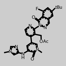 CC(=O)OCc1c(-c2cc(Nc3cn(C)cn3)c(=O)n(C)c2)ccnc1-n1ncc2cc(C(C)(C)C)cc(F)c2c1=O